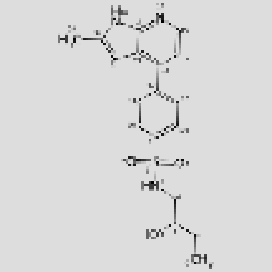 CCC(O)CNS(=O)(=O)c1ccc(-c2ccnc3[nH]c(C)cc23)cc1